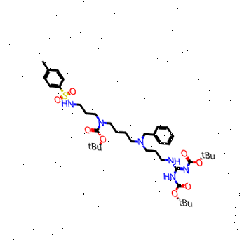 Cc1ccc(S(=O)(=O)NCCCN(CCCCN(CCCN/C(=N\C(=O)OC(C)(C)C)NC(=O)OC(C)(C)C)Cc2ccccc2)C(=O)OC(C)(C)C)cc1